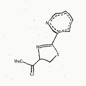 COC(=O)C1CSC(c2ccccn2)=N1